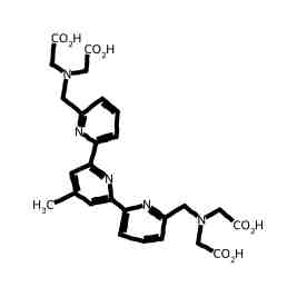 Cc1cc(-c2cccc(CN(CC(=O)O)CC(=O)O)n2)nc(-c2cccc(CN(CC(=O)O)CC(=O)O)n2)c1